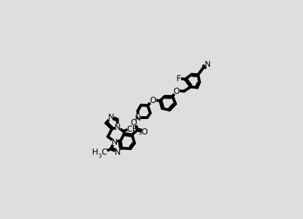 CCn1cncc1Cn1c(C)nc2ccc(C(=O)ON3CCC(Oc4cccc(OCc5ccc(C#N)cc5F)c4)CC3)cc21